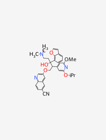 COc1cc(C(COc2cnc3ccc(C#N)cc3c2)C(O)(CCN(C)C)c2cccc3ccoc23)cc(OC(C)C)n1